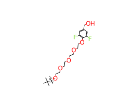 CC(C)(C)[Si](C)(C)OCCOCCOCCOCCOc1c(F)cc(CO)cc1F